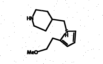 COCCC1=CC=C[SH]1CC1CCNCC1